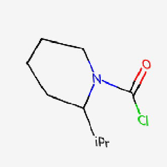 CC(C)C1CCCCN1C(=O)Cl